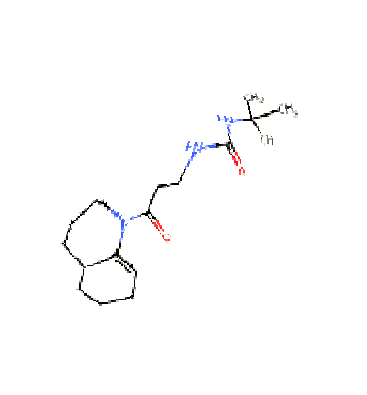 CC(C)(C)NC(=O)NCCC(=O)N1CCCC2CCCC=C21